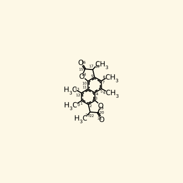 Cc1c2c(c3c(C)c(C)c4c(c3c1C)OC(=O)C4C)OC(=O)C2C